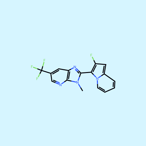 Cn1c(-c2c(F)cc3ccccn23)nc2cc(C(F)(F)F)cnc21